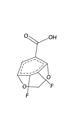 O=C(O)c1cc2c(F)c(F)c1OCO2